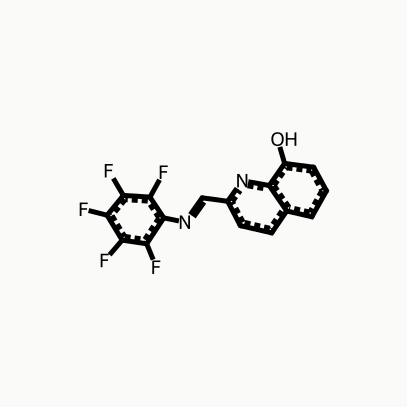 Oc1cccc2ccc(/C=N/c3c(F)c(F)c(F)c(F)c3F)nc12